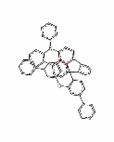 C1=C2Oc3cc(-c4ccccc4)ccc3C3(C2=CCC1c1ccccc1)c1ccccc1-c1ccc(N(c2ccccc2)c2ccccc2-c2ccccc2)cc13